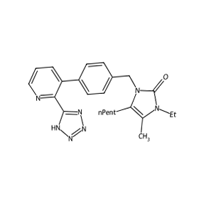 CCCCCc1c(C)n(CC)c(=O)n1Cc1ccc(-c2cccnc2-c2nnn[nH]2)cc1